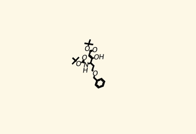 CC(C)(C)OC(=O)C=C(O)C(CCOCc1ccccc1)NC(=O)OC(C)(C)C